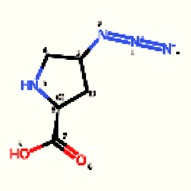 [N-]=[N+]=NC1CN[C@H](C(=O)O)C1